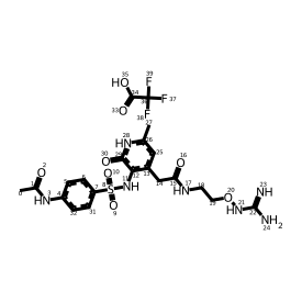 CC(=O)Nc1ccc(S(=O)(=O)Nc2c(CC(=O)NCCONC(=N)N)cc(C)[nH]c2=O)cc1.O=C(O)C(F)(F)F